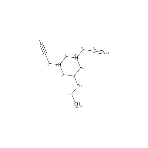 CCOC1CN(CC#N)CN(CC#N)C1